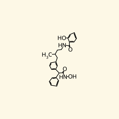 CC(CCNC(=O)c1ccccc1O)Cc1cccc(C(C(=O)NO)c2ccccc2)c1